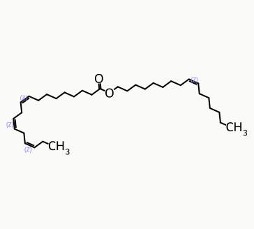 CC/C=C\C/C=C\C/C=C\CCCCCCCC(=O)OCCCCCCCC/C=C\CCCCCC